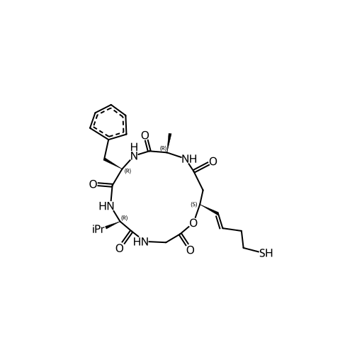 CC(C)[C@H]1NC(=O)[C@@H](Cc2ccccc2)NC(=O)[C@@H](C)NC(=O)C[C@@H](C=CCCS)OC(=O)CNC1=O